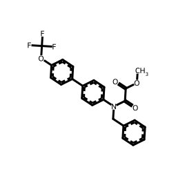 COC(=O)C(=O)N(Cc1ccccc1)c1ccc(-c2ccc(OC(F)(F)F)cc2)cc1